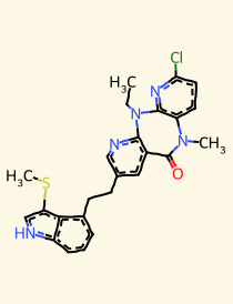 CCN1c2ncc(CCc3cccc4[nH]cc(SC)c34)cc2C(=O)N(C)c2ccc(Cl)nc21